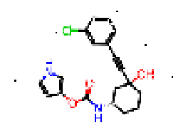 O=C(N[C@H]1CCC[C@@](O)(C#Cc2cccc(Cl)c2)C1)Oc1cc[nH]c1